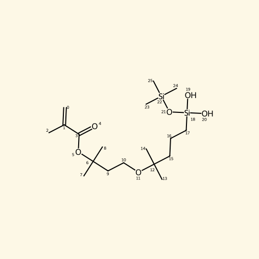 C=C(C)C(=O)OC(C)(C)CCOC(C)(C)CCC[Si](O)(O)O[Si](C)(C)C